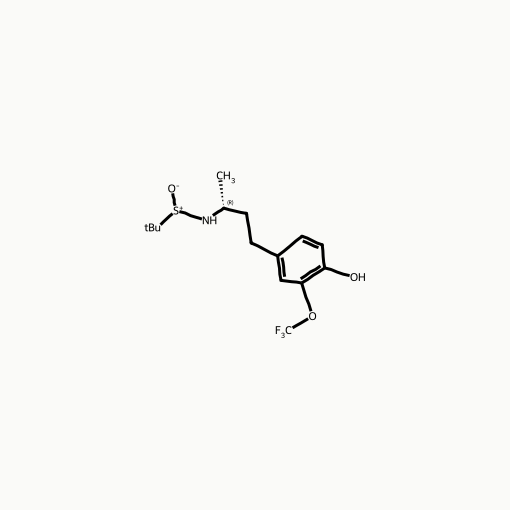 C[C@H](CCc1ccc(O)c(OC(F)(F)F)c1)N[S+]([O-])C(C)(C)C